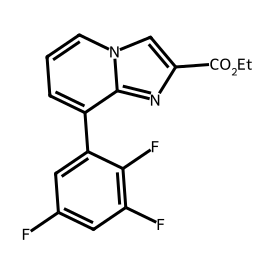 CCOC(=O)c1cn2cccc(-c3cc(F)cc(F)c3F)c2n1